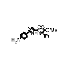 COC(=O)[C@@H](NC(=O)c1csc(-c2ccc(N)cc2)n1)C(C)C